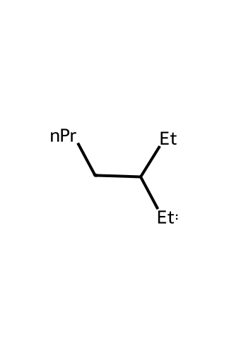 C[C]C(CC)CCCC